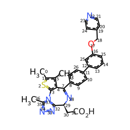 Cc1sc2c(c1C)C(c1ccc(-c3cccc(OCc4ccncc4)c3)cc1)=N[C@@H](CC(=O)O)c1nnc(C)n1-2